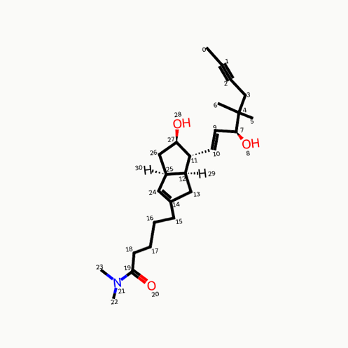 CC#CCC(C)(C)[C@@H](O)/C=C/[C@@H]1[C@H]2CC(CCCCC(=O)N(C)C)=C[C@H]2C[C@H]1O